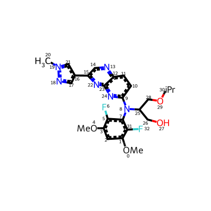 COc1cc(OC)c(F)c(N(c2ccc3ncc(-c4cnn(C)c4)nc3n2)C(CO)COC(C)C)c1F